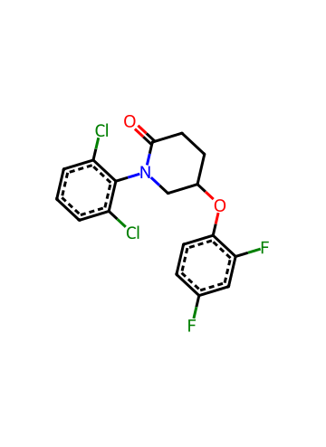 O=C1CCC(Oc2ccc(F)cc2F)CN1c1c(Cl)cccc1Cl